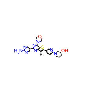 CCc1c(-c2ccc(N3CCCC(O)C3)nc2)sc2c(N3CCOCC3)nc(-c3cnc(N)nc3)nc12